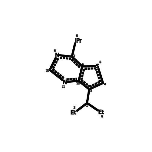 CCC(CC)c1csc2c(C(C)C)ncnc12